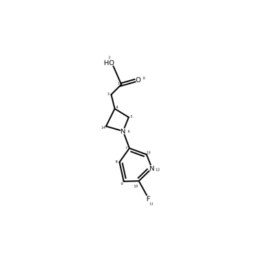 O=C(O)CC1CN(c2ccc(F)nc2)C1